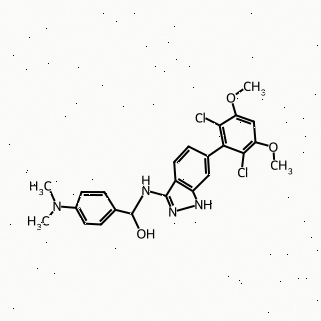 COc1cc(OC)c(Cl)c(-c2ccc3c(NC(O)c4ccc(N(C)C)cc4)n[nH]c3c2)c1Cl